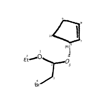 CCOC(CBr)O[C@H]1C=CCC1